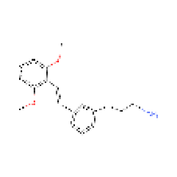 COc1cccc(OC)c1/C=C/c1cccc(CCCN)c1